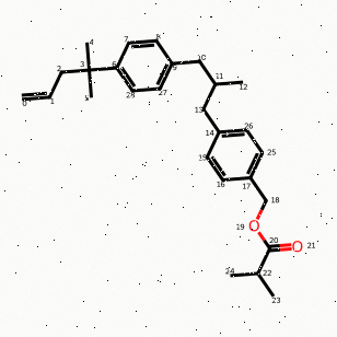 C=CCC(C)(C)c1ccc(CC(C)Cc2ccc(COC(=O)C(C)C)cc2)cc1